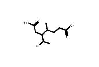 CC(O)C(CC(=O)O)C(C)CCC(=O)O